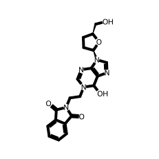 O=C1c2ccccc2C(=O)N1CCN1C=Nc2c(ncn2[C@H]2CC[C@@H](CO)O2)C1O